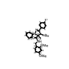 CCCCC1C(c2ccc(F)cc2)=NN(c2ccccc2)C1(C)C(=O)NCc1ccc(OC)cc1OC